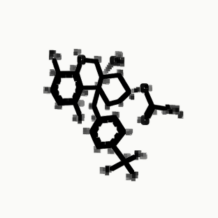 NC(=O)O[C@@H]1CCC2(Cc3ccc(C(F)(F)F)cc3)c3c(F)ccc(F)c3OC[C@@]2(O)C1